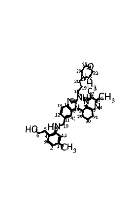 Cc1ccc(CCO)c(NCc2ccc3nc(NCCCN4CCOCC4)n(C4CCCc5nc(C)c(C)nc54)c3c2)c1